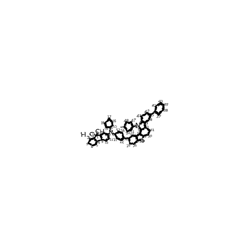 CC1(C)c2ccccc2-c2ccc(N(c3ccccc3)c3ccc(-c4ccc5sc6ccc7c8cc(-c9ccccc9)ccc8n(-c8ccccc8)c7c6c5c4)cc3)cc21